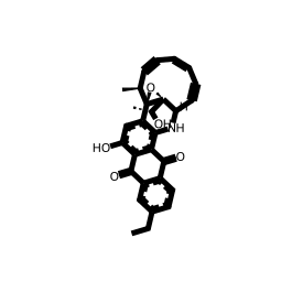 CCc1ccc2c(c1)C(=O)c1c(O)cc3c(c1C2=O)N[C@H]1C#C/C=C\C#C[C@H](C)[C@@]32O[C@@]12[C@@H](C)O